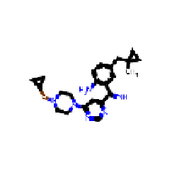 CC1(Cc2ccc(N)c(C(=N)c3cc(N4CCN(SC5CC5)CC4)ncn3)c2)CC1